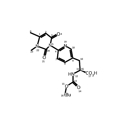 Cc1cc(=O)n(-c2ccc(C[C@H](NC(=O)OC(C)(C)C)C(=O)O)cn2)c(=O)n1C